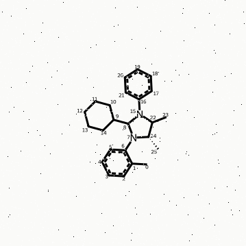 Cc1ccccc1N1C(C2CCCCC2)N(c2ccccc2)C(C)[C@@H]1C